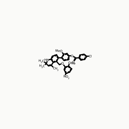 COc1ccc([N+](=O)[O-])cc1OCc1c(-c2ccc(OC(=O)c3ccc(Cl)cc3)cc2OC)ccc2c1C(C)=CC(C)(C)N2